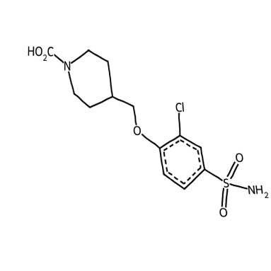 NS(=O)(=O)c1ccc(OCC2CCN(C(=O)O)CC2)c(Cl)c1